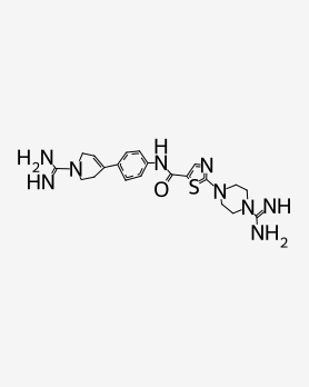 N=C(N)N1CC=C(c2ccc(NC(=O)c3cnc(N4CCN(C(=N)N)CC4)s3)cc2)CC1